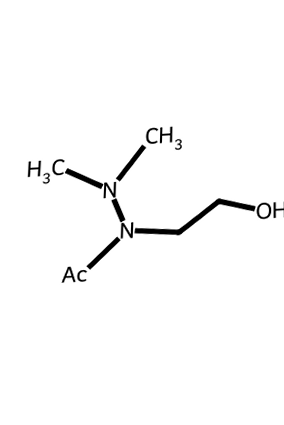 CC(=O)N(CCO)N(C)C